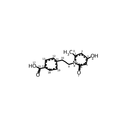 Cc1cc(O)cc(=O)n1CCc1ccc(C(=O)O)cc1